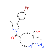 CC1CN(C(=O)c2cccnc(N)c3c(cc2)CO[C@@H]3C)CC1c1ccc(Br)cc1